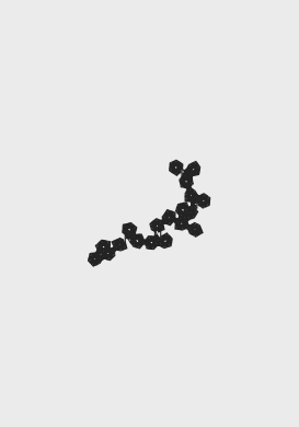 c1ccc(-c2ccc(-c3cccc(-c4cccc(-n5c6ccccc6c6ccc(-c7ccc8c(c7)c7ccccc7n8-c7ccc(-c8ccc9c%10c(cccc8%10)-c8ccccc8-9)cc7)cc65)c4)c3)c3c2-c2ccc(-n4c5ccccc5c5cc(-c6ccc7c(c6)c6ccccc6n7-c6ccccc6)ccc54)c4cccc-3c24)cc1